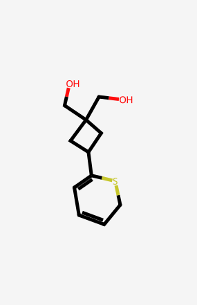 OCC1(CO)CC(C2=CC=CCS2)C1